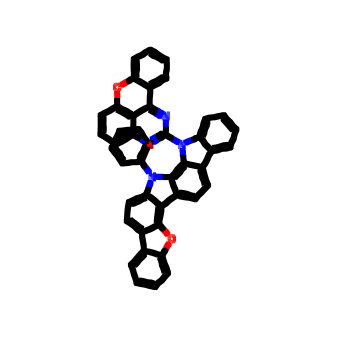 c1ccc(-n2c3ccc4c5ccccc5oc4c3c3ccc4c5ccccc5n(-c5nc6c7c(cccc7n5)Oc5ccccc5-6)c4c32)cc1